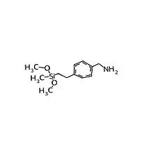 CO[Si](C)(CCc1ccc(CN)cc1)OC